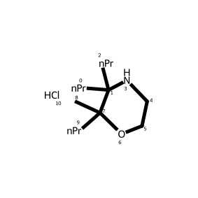 CCCC1(CCC)NCCOC1(C)CCC.Cl